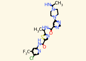 CC(=N)N1CCN(c2cc(C(=O)NC(C)c3ncc(C(=O)Nc4cc(C(F)(F)F)c(Cl)cn4)s3)ncn2)CC1